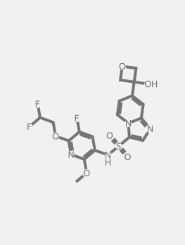 COc1nc(OCC(F)F)c(F)cc1NS(=O)(=O)c1cnc2cc(C3(O)COC3)ccn12